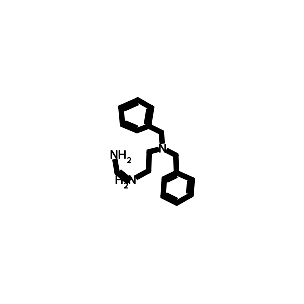 C=CN.NCCN(Cc1ccccc1)Cc1ccccc1